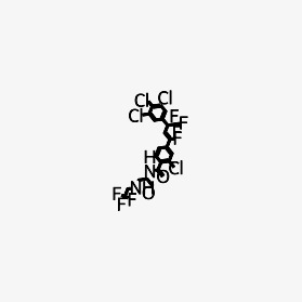 O=CC(CNCC(F)(F)F)NC(=O)c1ccc(/C(F)=C/C(c2cc(Cl)c(Cl)c(Cl)c2)C(F)(F)F)cc1Cl